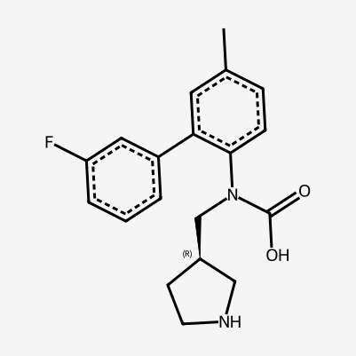 Cc1ccc(N(C[C@@H]2CCNC2)C(=O)O)c(-c2cccc(F)c2)c1